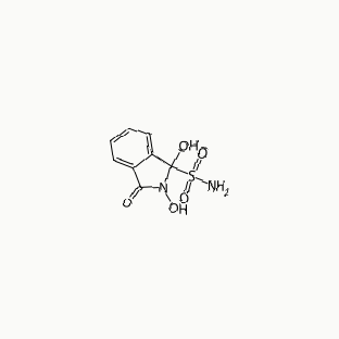 NS(=O)(=O)C1(O)c2ccccc2C(=O)N1O